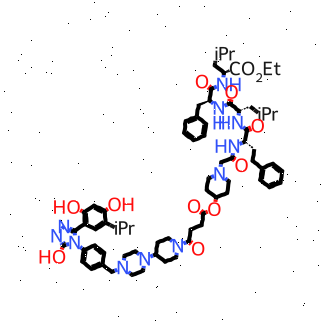 CCOC(=O)[C@H](CC(C)C)NC(=O)[C@H](Cc1ccccc1)NC(=O)[C@H](CC(C)C)NC(=O)[C@H](CCc1ccccc1)NC(=O)CN1CCC(OC(=O)CCC(=O)N2CCC(N3CCN(Cc4ccc(-n5c(O)nnc5-c5cc(C(C)C)c(O)cc5O)cc4)CC3)CC2)CC1